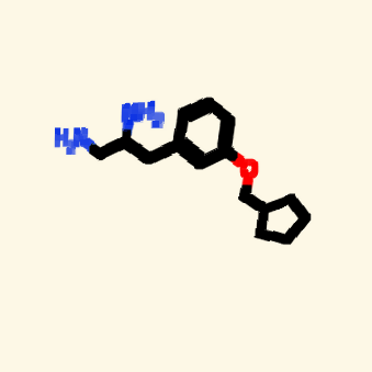 NC[C@@H](N)Cc1cccc(OCC2CCCC2)c1